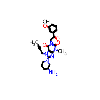 CC#CCn1c(N2CCCC(N)C2)nc2c1c(=O)n(CC(=O)c1cccc(OC)c1)c(=O)n2C